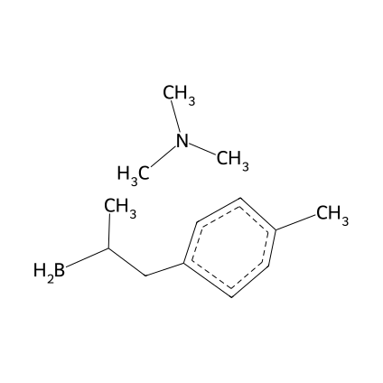 BC(C)Cc1ccc(C)cc1.CN(C)C